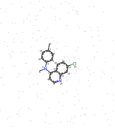 Cc1ccc(N(C)c2ccnc3cc(Cl)ccc23)cc1